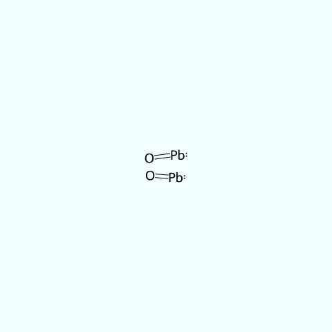 [O]=[Pb].[O]=[Pb]